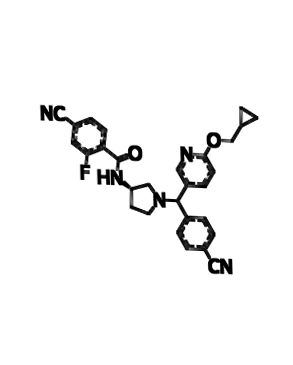 N#Cc1ccc(C(c2ccc(OCC3CC3)nc2)N2CC[C@@H](NC(=O)c3ccc(C#N)cc3F)C2)cc1